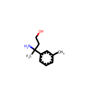 Cc1cccc(C(N)(CCO)C(F)(F)F)c1